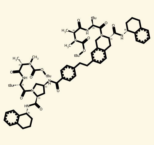 C[C@@H](C(=O)N[C@H](C(=O)N1Cc2cc(CCc3ccc(C(=O)N[C@H]4C[C@@H](C(=O)N[C@@H]5CCCc6ccccc65)N(C(=O)[C@@H](NC(=O)[C@H](C)N(C)C(=O)OC(C)(C)C)C(C)(C)C)C4)cc3)ccc2C[C@H]1C(=O)N[C@@H]1CCCc2ccccc21)C(C)(C)C)N(C)C(=O)OC(C)(C)C